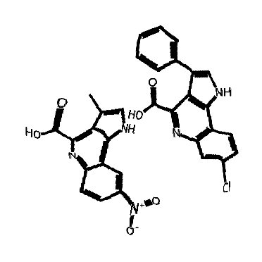 Cc1c[nH]c2c1c(C(=O)O)nc1ccc([N+](=O)[O-])cc12.O=C(O)c1nc2cc(Cl)ccc2c2[nH]cc(-c3ccccc3)c12